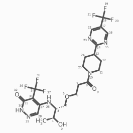 C[C@H](O)[C@@H](COCCC(=O)N1CCC(c2ncc(C(F)(F)F)cn2)CC1)Nc1cn[nH]c(=O)c1C(F)(F)F